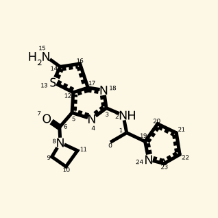 CC(Nc1nc(C(=O)N2CCC2)c2sc(N)cc2n1)c1ccccn1